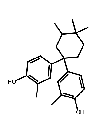 Cc1cc(C2(c3ccc(O)c(C)c3)CCC(C)(C)C(C)C2)ccc1O